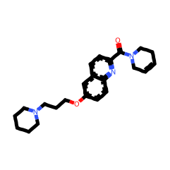 O=C(c1ccc2cc(OCCCN3CCCCC3)ccc2n1)N1CC=CCC1